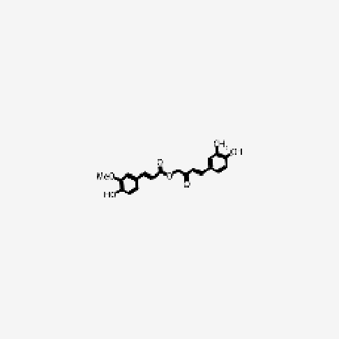 COc1cc(/C=C/C(=O)OCC(=O)/C=C/c2ccc(O)c(C)c2)ccc1O